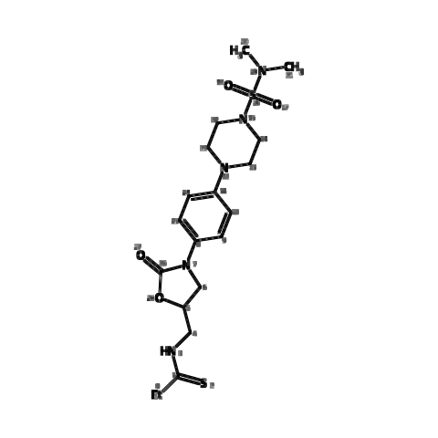 CCC(=S)NCC1CN(c2ccc(N3CCN(S(=O)(=O)N(C)C)CC3)cc2)C(=O)O1